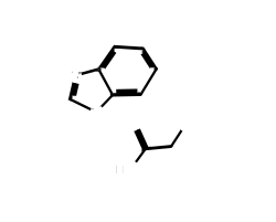 CCC(O)=S.c1ccc2scnc2c1